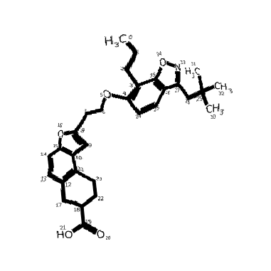 CCCc1c(OCCc2cc3c4c(ccc3o2)CC(C(=O)O)CC4)ccc2c(CC(C)(C)C)noc12